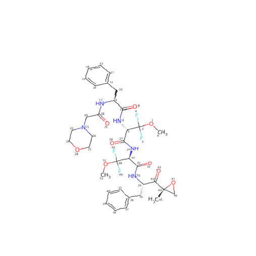 COC(F)(F)[C@@H](NC(=O)[C@H](Cc1ccccc1)NC(=O)CN1CCOCC1)C(=O)N[C@@H](C(=O)N[C@@H](Cc1ccccc1)C(=O)[C@@]1(C)CO1)C(F)(F)OC